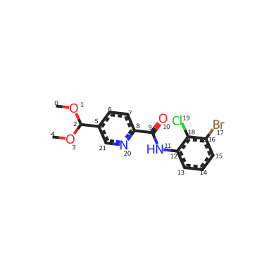 COC(OC)c1ccc(C(=O)Nc2cccc(Br)c2Cl)nc1